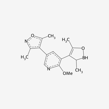 COc1ncc(-c2c(C)noc2C)cc1C1=C(C)OBC1C